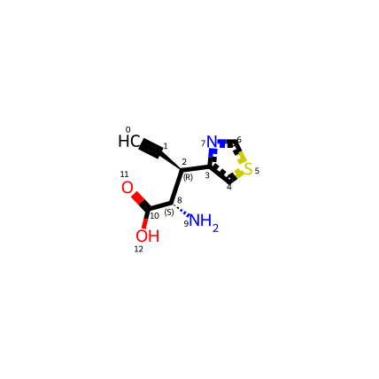 C#C[C@@H](c1cscn1)[C@H](N)C(=O)O